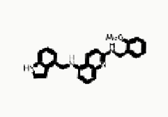 COc1ccccc1CNc1ccc2c(NCc3cccc4[nH]ccc34)cccc2n1